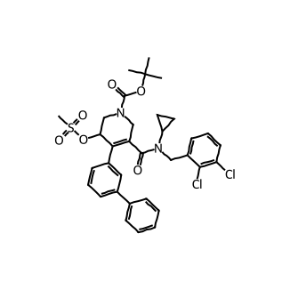 CC(C)(C)OC(=O)N1CC(C(=O)N(Cc2cccc(Cl)c2Cl)C2CC2)=C(c2cccc(-c3ccccc3)c2)C(OS(C)(=O)=O)C1